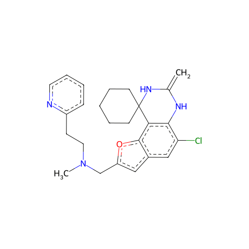 C=C1Nc2c(Cl)cc3cc(CN(C)CCc4ccccn4)oc3c2C2(CCCCC2)N1